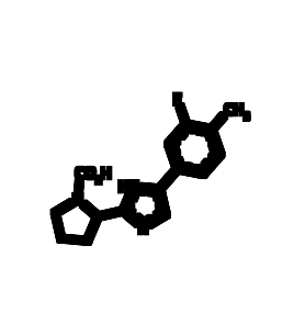 Cc1ccc(-c2cnc(C3CCCN3C(=O)O)[nH]2)cc1F